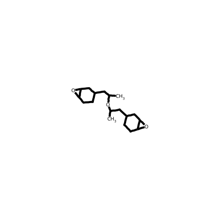 CC(CC1CCC2OC2C1)OC(C)CC1CCC2OC2C1